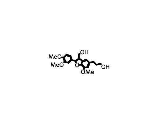 COc1ccc(C2Oc3c(OC)cc(CCCO)cc3C2CO)cc1OC